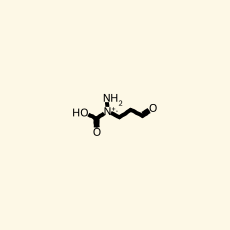 N[N+](CCC=O)C(=O)O